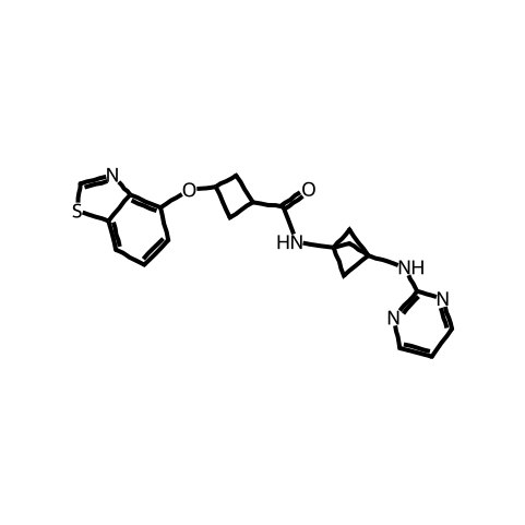 O=C(NC12CC(Nc3ncccn3)(C1)C2)C1CC(Oc2cccc3scnc23)C1